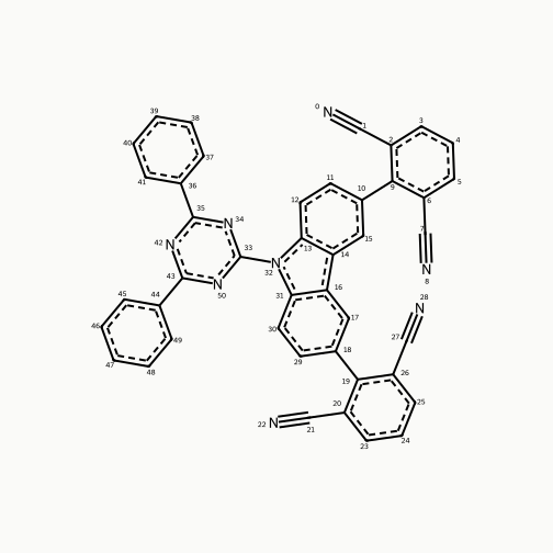 N#Cc1cccc(C#N)c1-c1ccc2c(c1)c1cc(-c3c(C#N)cccc3C#N)ccc1n2-c1nc(-c2ccccc2)nc(-c2ccccc2)n1